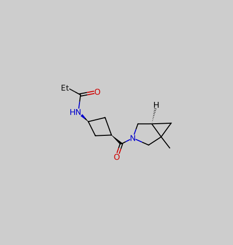 CCC(=O)N[C@H]1C[C@@H](C(=O)N2C[C@H]3CC3(C)C2)C1